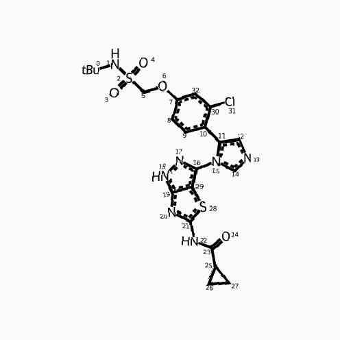 CC(C)(C)NS(=O)(=O)COc1ccc(-c2cncn2-c2n[nH]c3nc(NC(=O)C4CC4)sc23)c(Cl)c1